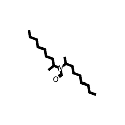 CCCCCCCC(C)N(C=O)C(C)CCCCCCC